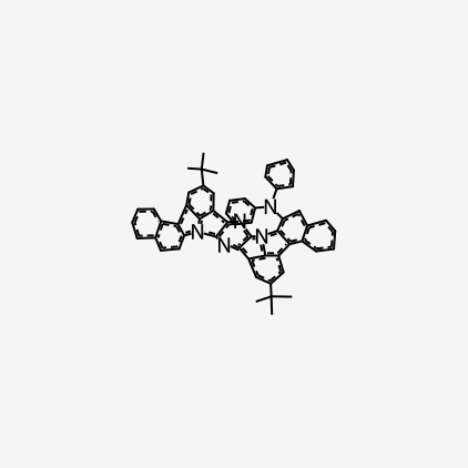 CC(C)(C)c1cc2c3nc4c(nc3n3c5ccc6ccccc6c5c(c1)c23)c1cc(C(C)(C)C)cc2c3c5ccccc5cc(N(c5ccccc5)c5ccccc5)c3n4c12